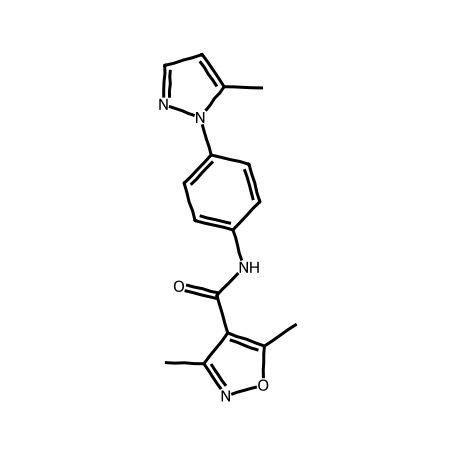 Cc1noc(C)c1C(=O)Nc1ccc(-n2nccc2C)cc1